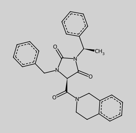 C[C@H](c1ccccc1)N1C(=O)[C@@H](C(=O)N2CCc3ccccc3C2)N(Cc2ccccc2)C1=O